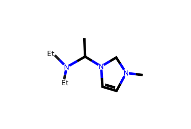 CCN(CC)C(C)N1C=CN(C)C1